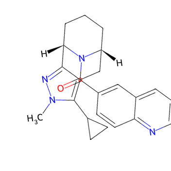 Cn1nc2c(c1C1CC1)C[C@H]1CCC[C@@H]2N1C(=O)c1ccc2ncccc2c1